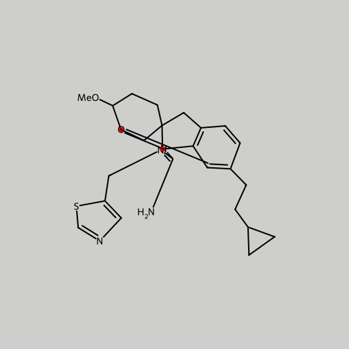 COC1CCC2(CC1)Cc1ccc(CCC3CC3)cc1C21N=C(N)N(Cc2cncs2)C1=O